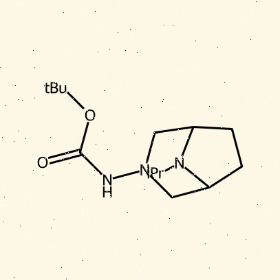 CC(C)N1C2CCC1CN(NC(=O)OC(C)(C)C)C2